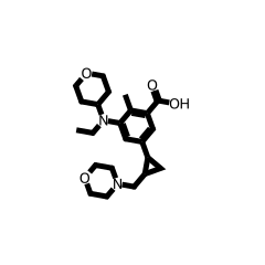 CCN(c1cc(C2CC2CN2CCOCC2)cc(C(=O)O)c1C)C1CCOCC1